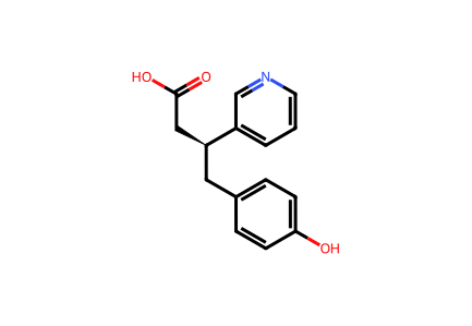 O=C(O)C[C@H](Cc1ccc(O)cc1)c1cccnc1